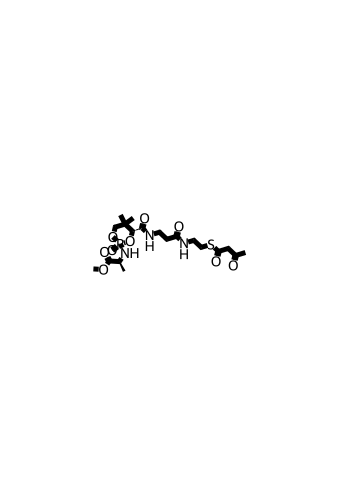 COC(=O)[C@H](C)NP1(=O)OCC(C)(C)[C@H](C(=O)NCCC(=O)NCCSC(=O)CC(C)=O)O1